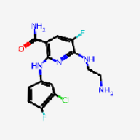 NCCNc1nc(Nc2ccc(F)c(Cl)c2)c(C(N)=O)cc1F